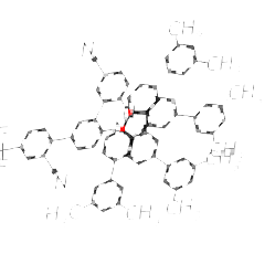 Cc1cc(C)cc(-c2ccc3c(c2)c2cc(-c4cc(C)cc(C)c4)ccc2n3-c2ccc(C#N)cc2-c2cc(-c3ccc(C(F)(F)F)cc3C#N)ccc2-n2c3ccc(-c4cc(C)cc(C)c4)cc3c3cc(-c4cc(C)cc(C)c4)ccc32)c1